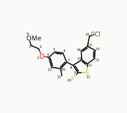 COCCOc1ccc(-c2c(F)sc3ccc(CCl)cc23)c(C)c1